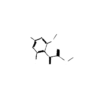 C=C(C(=O)OC)c1c(F)cc(F)cc1OC